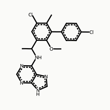 COc1c(C(C)Nc2ncnc3[nH]cnc23)cc(Cl)c(C)c1-c1ccc(Cl)cc1